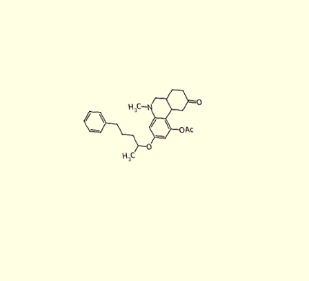 CC(=O)Oc1cc(OC(C)CCCc2ccccc2)cc2c1C1CC(=O)CCC1CN2C